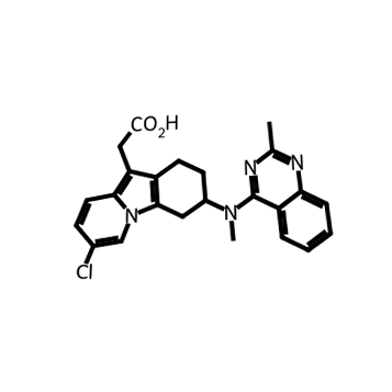 Cc1nc(N(C)C2CCc3c(CC(=O)O)c4ccc(Cl)cn4c3C2)c2ccccc2n1